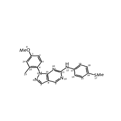 COc1ccc(-n2ncc3cnc(Nc4ccc(SC)cc4)nc32)c(C)c1